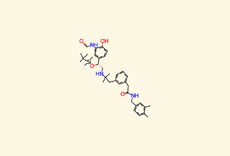 Cc1ccc(CNC(=O)Cc2cccc(CC(C)(C)NC[C@H](O[Si](C)(C)C(C)(C)C)c3ccc(O)c(NC=O)c3)c2)cc1C